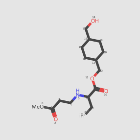 COC(=O)CCNC(CC(C)C)C(=O)OCC1CCC(CO)CC1